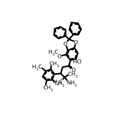 COc1c(C(=O)CC(c2c(C)c(C)cc(C)c2C)C(C)(C)N)ccc2c1OC(c1ccccc1)(c1ccccc1)O2.Cl